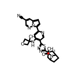 CC(=O)N1C2CCC1CN(c1nnc(-c3cnc(-c4ccc5cc(C#N)cnn45)cc3NC3(C)COC3)s1)C2